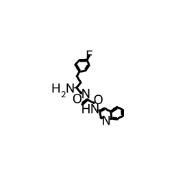 N[C@H](CCc1ccc(F)cc1)c1nc(C(=O)Nc2cnc3ccccc3c2)co1